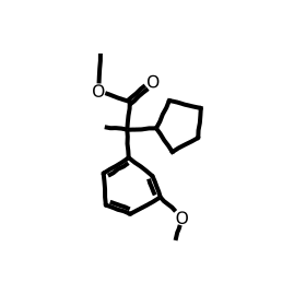 COC(=O)C(C)(c1cccc(OC)c1)C1CCCC1